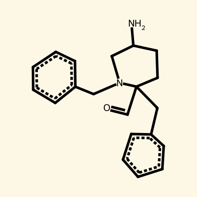 NC1CCC(C=O)(Cc2ccccc2)N(Cc2ccccc2)C1